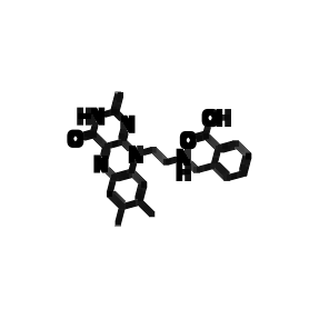 C=c1nc2c(c(=O)[nH]1)=Nc1cc(C)c(C)cc1N2CCNCc1ccccc1C(=O)O